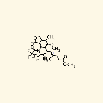 COC(=O)CC/C(C)=C/Cc1c(OC)c(C)c2c(c1N(C(=O)C(F)(F)F)C(C)C)C(=O)OC2